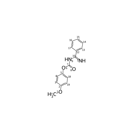 COc1ccc(OC(=O)NC(=N)c2cc[c]cc2)cc1